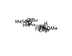 CBc1[nH]c([C@@H]2CCCN2C(=O)[C@@H](NC(=O)OC)C(C)C)nc1-c1ccc(-c2ccc(-c3c[nH]c([C@@H]4C[C@H](SC)CN4C(=O)OC(C)(C)C)n3)cc2)cc1